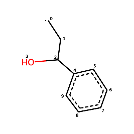 [CH2]CC(O)c1ccccc1